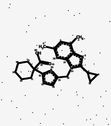 Cc1cc(C)c2nc(C3CC3)n(Cc3ccc(C4(C(=O)O)CCCCC4)s3)c2n1